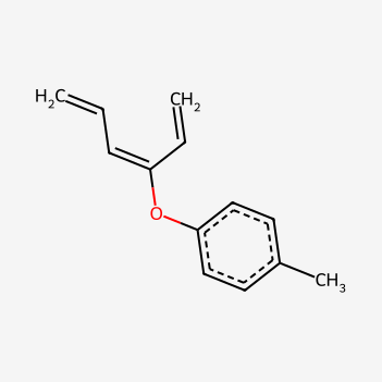 C=C/C=C(\C=C)Oc1ccc(C)cc1